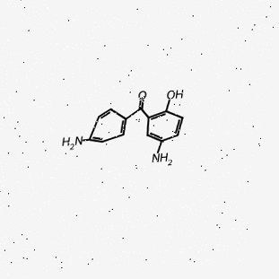 Nc1ccc(C(=O)c2cc(N)ccc2O)cc1